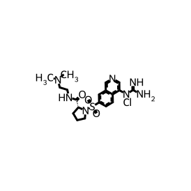 CN(C)CCNC(=O)[C@H]1CCCN1S(=O)(=O)c1ccc2c(N(Cl)C(=N)N)cncc2c1